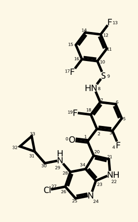 O=C(c1c(F)ccc(NSc2cc(F)ccc2F)c1F)c1c[nH]c2ncc(Cl)c(NCC3CC3)c12